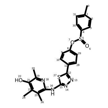 Cc1ccc(S(=O)Oc2ccc(-c3nnc(Nc4nc(C)c(O)c(C)c4C)s3)cc2)cc1